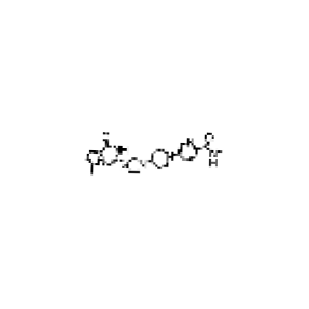 CNC(=O)c1ccc(N2CCC(N3CC[C@@H](c4cn5c(C)ccc5c(=O)[nH]4)C3)CC2)cn1